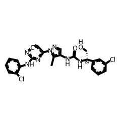 Cc1c(NC(=O)N[C@H](CO)c2cccc(Cl)c2)cnn1-c1ccnc(Nc2ccccc2Cl)n1